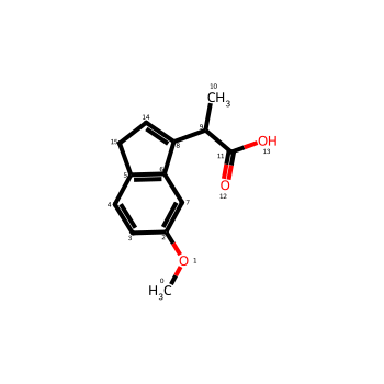 COc1ccc2c(c1)C(C(C)C(=O)O)=CC2